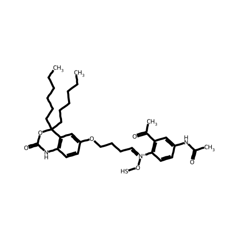 CCCCCCC1(CCCCCC)OC(=O)Nc2ccc(OCCCC=[N+](OS)c3ccc(NC(C)=O)cc3C(C)=O)cc21